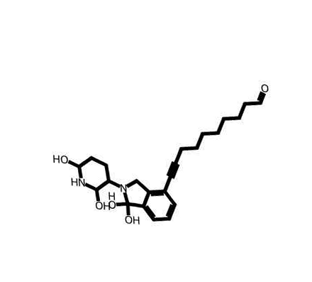 O=CCCCCCCCC#Cc1cccc2c1CN(C1CCC(O)NC1O)C2(O)O